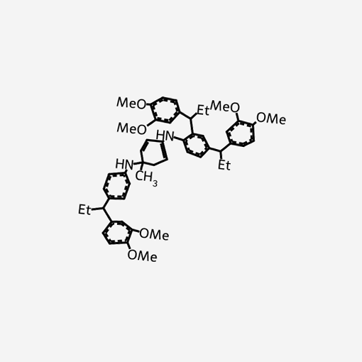 CCC(c1ccc(NC2(C)C=CC(Nc3ccc(C(CC)c4ccc(OC)c(OC)c4)cc3C(CC)c3ccc(OC)c(OC)c3)=CC2)cc1)c1ccc(OC)c(OC)c1